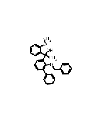 COc1ccccc1C(C)(O)c1cccc(-c2ccccc2)c1OCc1ccccc1